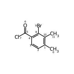 Cc1ccc(C(=O)Cl)c(Br)c1C